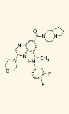 CC(Nc1ccc(F)c(F)c1)c1cc(C(=O)N2CCN3CCCC3C2)cc2ncc(N3CCOCC3)nc12